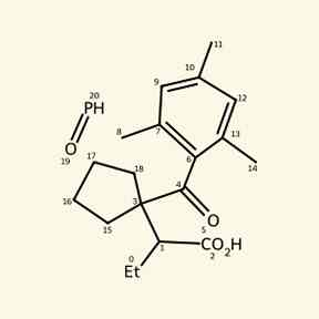 CCC(C(=O)O)C1(C(=O)c2c(C)cc(C)cc2C)CCCC1.O=P